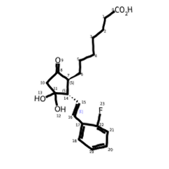 O=C(O)CCCCCC[C@@H]1C(=O)CC(O)(O)[C@H]1/C=C/c1ccccc1F